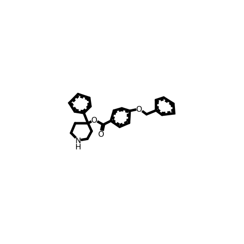 O=C(OC1(c2ccccc2)CCNCC1)c1ccc(OCc2ccccc2)cc1